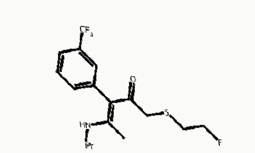 CC(NC(C)C)=C(C(=O)CSCCF)c1cccc(C(F)(F)F)c1